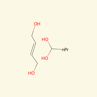 CCCC(O)O.OC/C=C/CO